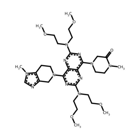 COCCN(CCOC)c1nc(N2CCc3c(ncn3C)C2)c2nc(N(CCOC)CCOC)nc(N3CCN(C)C(=O)C3)c2n1